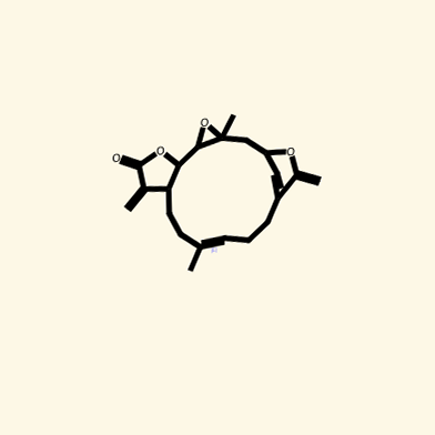 C=C1OC2C=C1CC/C=C(\C)CCC1C(=C)C(=O)OC1C1OC1(C)C2